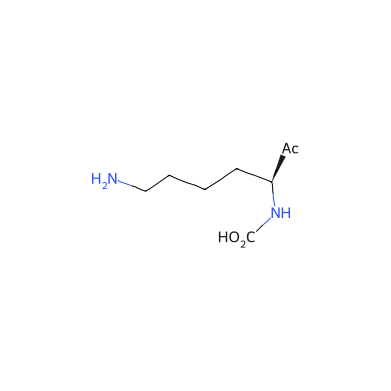 CC(=O)[C@H](CCCCN)NC(=O)O